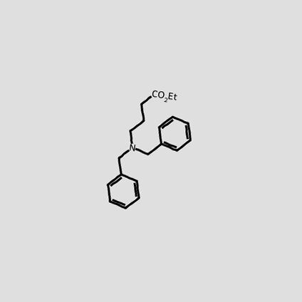 CCOC(=O)CCCN(Cc1ccccc1)Cc1ccccc1